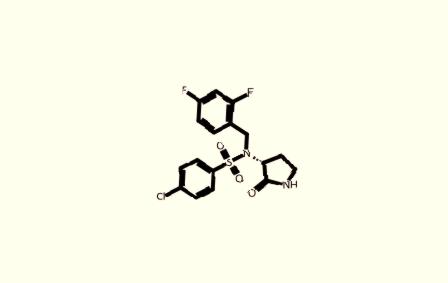 O=C1NCC[C@H]1N(Cc1ccc(F)cc1F)S(=O)(=O)c1ccc(Cl)cc1